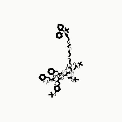 CC(C)(C)OC(=O)C[C@H](NC(=O)[C@H](CC(=O)OC(C)(C)C)NC(=O)[C@H](Cc1ccccc1)NC(=O)C(Cc1ccc(OC(C)(C)C)cc1)NC(=O)[C@@H](N)Cc1ccccc1)C(=O)NCCOCCOCCOCC#C[Si](c1ccccc1)(c1ccccc1)C(C)(C)C